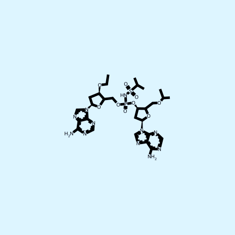 CCO[C@@H]1C[C@H](n2cnc3c(N)ncnc32)OC1COP(=O)(NS(=O)(=O)C(C)C)O[C@@H]1C[C@H](n2cnc3c(N)ncnc32)OC1COC(C)C